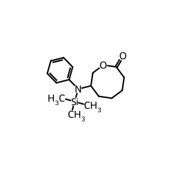 C[Si](C)(C)N(c1ccccc1)C1CCCCC(=O)OC1